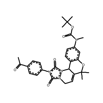 CC(=O)c1ccc(-n2c(=O)n3n(c2=O)C2C(=CC3)C(C)(C)Oc3cc(N(C)C(=O)OC(C)(C)C)ccc32)cc1